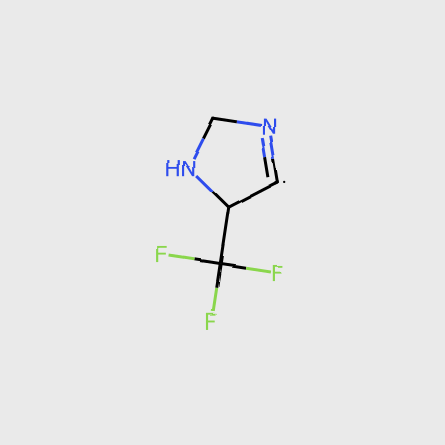 FC(F)(F)C1[C]=NCN1